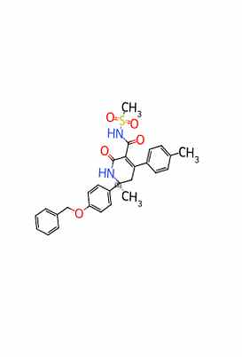 Cc1ccc(C2=C(C(=O)NS(C)(=O)=O)C(=O)N[C@](C)(c3ccc(OCc4ccccc4)cc3)C2)cc1